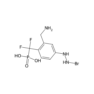 NCc1cc(NNBr)ccc1C(F)(F)P(=O)(O)O